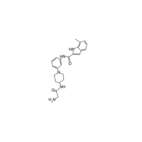 Cc1cccc2cc(C(=O)Nc3cccc(N4CCC(NC(=O)CN)CC4)c3)[nH]c12